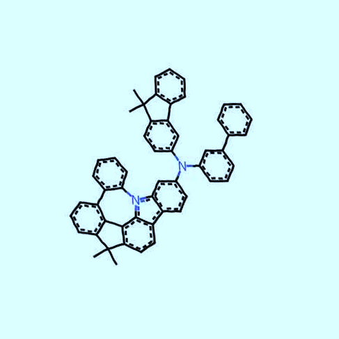 CC1(C)c2ccccc2-c2cc(N(c3cccc(-c4ccccc4)c3)c3ccc4c5ccc6c7c5n(c4c3)-c3ccccc3-c3cccc(c3-7)C6(C)C)ccc21